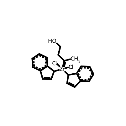 C[C](CCO)=[Zr]([Cl])([Cl])([CH]1C=Cc2ccccc21)[CH]1C=Cc2ccccc21